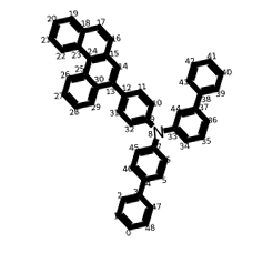 c1ccc(-c2ccc(N(c3ccc(-c4cc5ccc6ccccc6c5c5ccccc45)cc3)c3cccc(-c4ccccc4)c3)cc2)cc1